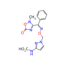 Cn1oc(=O)nc1C(=NOCn1ccc(NC(=O)O)n1)c1ccccc1